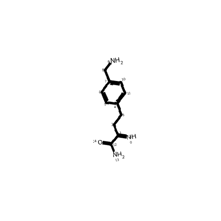 N=C(CCc1ccc(CN)cc1)C(N)=O